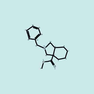 COC(=O)C12CCCCC1CN(Cc1ccccc1)C2